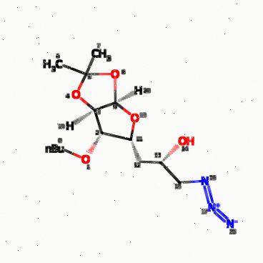 CCCCO[C@@H]1[C@H]2OC(C)(C)O[C@H]2O[C@@H]1C[C@H](O)CN=[N+]=[N-]